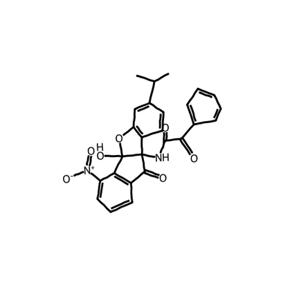 CC(C)c1ccc2c(c1)OC1(O)c3c(cccc3[N+](=O)[O-])C(=O)C21NC(=O)C(=O)c1ccccc1